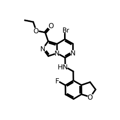 CCOC(=O)c1ncn2c(NCc3c(F)ccc4c3CCO4)ncc(Br)c12